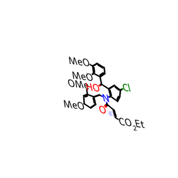 CCOC(=O)/C=C/C(=O)N(CC1=CCC(OC)C=C1OC)c1ccc(Cl)cc1C(O)c1cccc(OC)c1OC